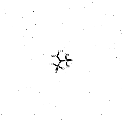 O=P([O-])(O)C(CO)P(=O)(O)O.[Na+]